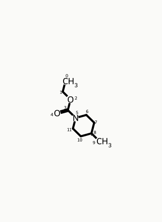 CCOC(=O)N1CC[C](C)CC1